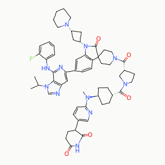 CC(C)n1cnc2cc(-c3ccc4c(c3)N([C@H]3C[C@@H](N5CCCCC5)C3)C(=O)C43CCN(C(=O)[C@@H]4CCN(C(=O)[C@H]5CC[C@H](N(C)c6ccc(C7CCC(=O)NC7=O)cn6)CC5)C4)CC3)nc(Nc3ccccc3F)c21